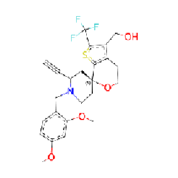 C#CC1C[C@]2(CCN1Cc1ccc(OC)cc1OC)OCCc1c2sc(C(F)(F)F)c1CO